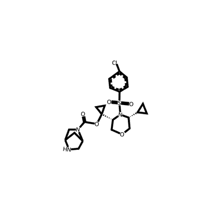 O=C(OC1([C@H]2COC[C@@H](C3CC3)N2S(=O)(=O)c2ccc(Cl)cc2)CC1)N1CC2CC1CN2